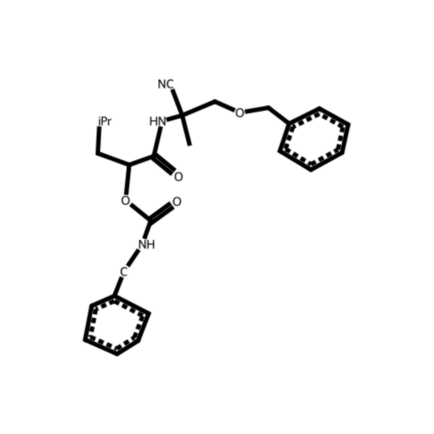 CC(C)CC(OC(=O)NCc1ccccc1)C(=O)NC(C)(C#N)COCc1ccccc1